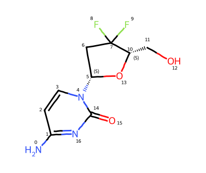 Nc1ccn([C@@H]2CC(F)(F)[C@H](CO)O2)c(=O)n1